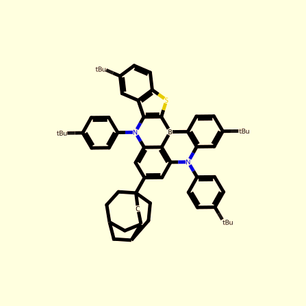 CC(C)(C)c1ccc(N2c3cc(C(C)(C)C)ccc3B3c4sc5ccc(C(C)(C)C)cc5c4N(c4ccc(C(C)(C)C)cc4)c4cc(C56CCC7CC(CC5)C(C7)C6)cc2c43)cc1